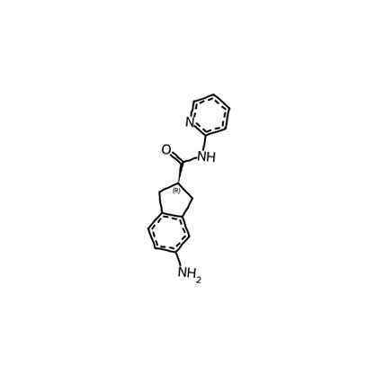 Nc1ccc2c(c1)C[C@H](C(=O)Nc1ccccn1)C2